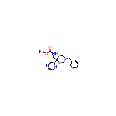 CC(C)(C)OC(=O)NCC1(c2cnccn2)CCN(Cc2ccccc2)CC1